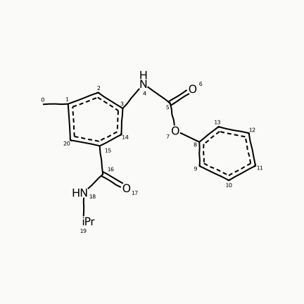 Cc1cc(NC(=O)Oc2ccccc2)cc(C(=O)NC(C)C)c1